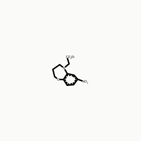 CCOC(=O)CN1CCCOc2ccc([N+](=O)[O-])cc21